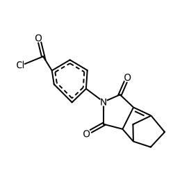 O=C(Cl)c1ccc(N2C(=O)C3=C4CCC(C4)C3C2=O)cc1